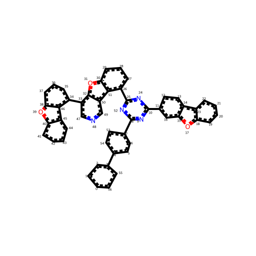 c1ccc(-c2ccc(-c3nc(-c4ccc5c(c4)oc4ccccc45)nc(-c4cccc5oc6c(-c7cccc8oc9ccccc9c78)cncc6c45)n3)cc2)cc1